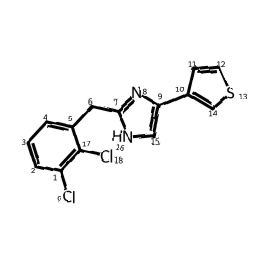 Clc1cccc(Cc2nc(-c3ccsc3)c[nH]2)c1Cl